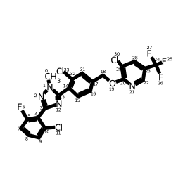 Cn1nc(-c2c(F)cccc2Cl)nc1-c1ccc(COc2ncc(C(F)(F)F)cc2Cl)cc1Cl